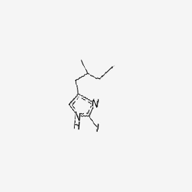 CCC(C)Cc1c[nH]c(I)n1